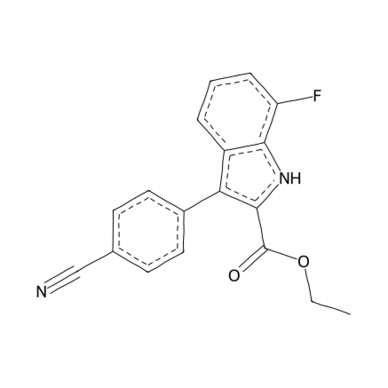 CCOC(=O)c1[nH]c2c(F)cccc2c1-c1ccc(C#N)cc1